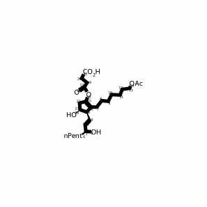 CCCCC[C@H](O)/C=C/[C@@H]1C(CCCCCCCOC(C)=O)=C(OC(=O)CCC(=O)O)C[C@H]1O